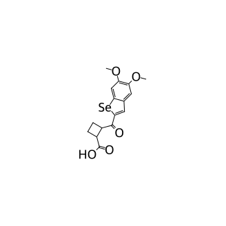 COc1cc2cc(C(=O)C3CCC3C(=O)O)[se]c2cc1OC